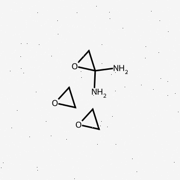 C1CO1.C1CO1.NC1(N)CO1